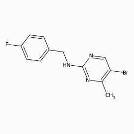 Cc1nc(NCc2ccc(F)cc2)ncc1Br